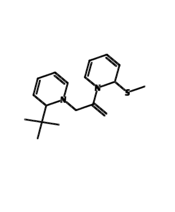 C=C(CN1C=CC=CC1C(C)(C)C)N1C=CC=CC1SC